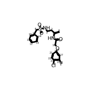 C=C(CCNS(=O)(=O)Cc1ccccc1)NC(=O)COc1ccc(Cl)c(F)c1